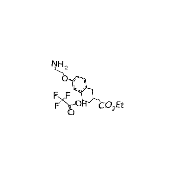 CCOC(=O)CC1CCc2cc(OCCN)ccc2C1.O=C(O)C(F)(F)F